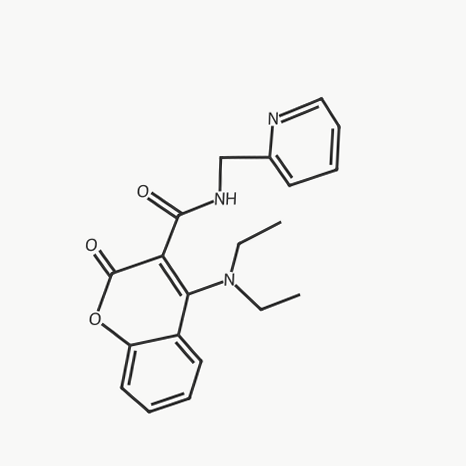 CCN(CC)c1c(C(=O)NCc2ccccn2)c(=O)oc2ccccc12